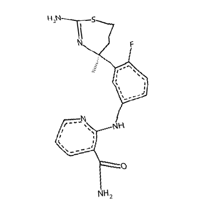 C[C@@]1(c2cc(Nc3ncccc3C(N)=O)ccc2F)CCSC(N)=N1